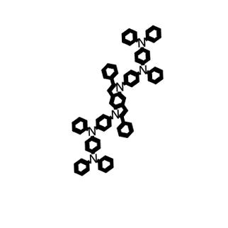 c1ccc(-c2cc3cc4c(cc(-c5ccccc5)n4-c4ccc(N(c5ccccc5)c5ccc(N(c6ccccc6)c6ccccc6)cc5)cc4)cc3n2-c2ccc(N(c3ccccc3)c3ccc(N(c4ccccc4)c4ccccc4)cc3)cc2)cc1